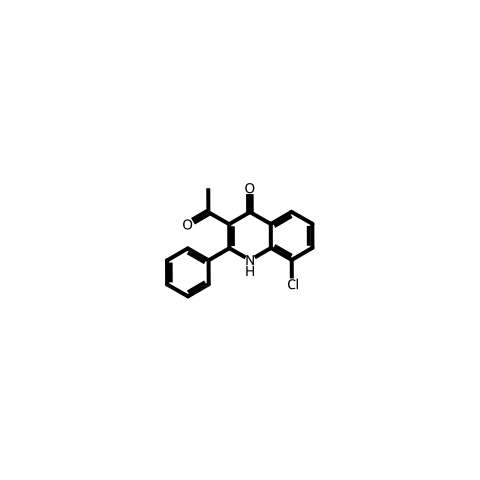 CC(=O)c1c(-c2ccccc2)[nH]c2c(Cl)cccc2c1=O